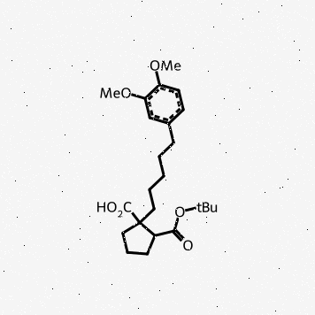 COc1ccc(CCCCCC2(C(=O)O)CCCC2C(=O)OC(C)(C)C)cc1OC